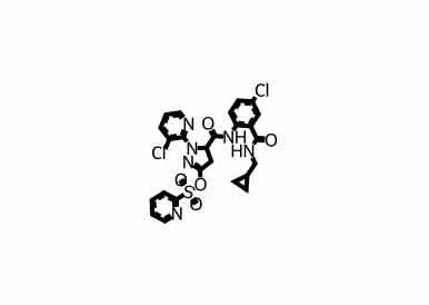 O=C(NCC1CC1)c1cc(Cl)ccc1NC(=O)C1CC(OS(=O)(=O)c2ccccn2)=NN1c1ncccc1Cl